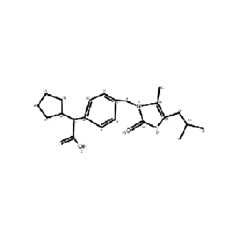 C=C(O)C(c1ccc(Cn2c(C)c(CC(C)C)sc2=O)cc1)C1CCCC1